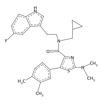 Cc1ccc(-c2sc(N(C)C)nc2C(=O)N(CCc2c[nH]c3ccc(F)cc23)CC2CC2)cc1C